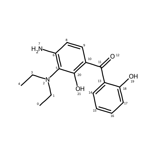 CCN(CC)c1c(N)ccc(C(=O)c2ccccc2O)c1O